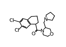 O=C(C1CCCc2cc(Cl)c(Cl)cc21)N1CCOCC1CN1CCCC1